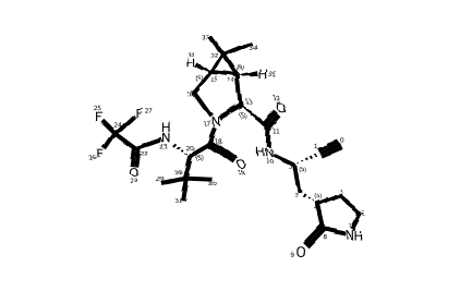 C#C[C@H](C[C@@H]1CCNC1=O)NC(=O)[C@@H]1[C@@H]2[C@H](CN1C(=O)[C@@H](NC(=O)C(F)(F)F)C(C)(C)C)C2(C)C